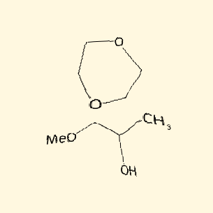 C1COCCO1.COCC(C)O